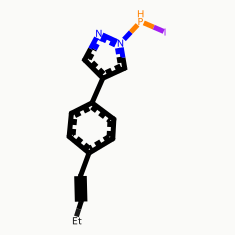 CCC#Cc1ccc(-c2cnn(PI)c2)cc1